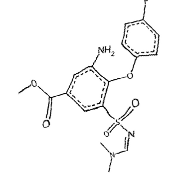 COC(=O)c1cc(N)c(Oc2ccc(F)cc2)c(S(=O)(=O)/N=C\N(C)C)c1